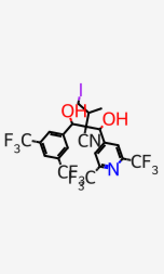 CC(CI)C(C#N)(C(O)c1cc(C(F)(F)F)cc(C(F)(F)F)c1)C(O)c1cc(C(F)(F)F)nc(C(F)(F)F)c1